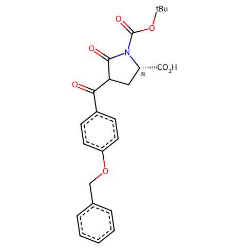 CC(C)(C)OC(=O)N1C(=O)C(C(=O)c2ccc(OCc3ccccc3)cc2)C[C@H]1C(=O)O